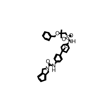 CC(C)(CS(=O)(=O)NC12CCC(c3ccc(NC(=O)N4Cc5ccccc5C4)cc3)(CC1)CC2)OCc1ccccc1